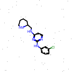 Clc1cccc(Nc2nccc(NCC3CCCCN3)n2)c1